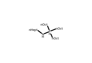 CCCCCCCC[PH](CCCCCCCC)(CCCCCCCC)NCCCCCCC